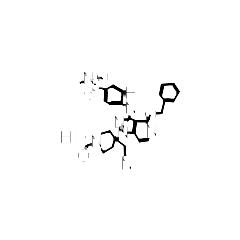 CN(C)S(=O)(=O)c1ccc(Nc2nn(C3(CC#N)CCN(C(=O)O)CC3)c3ccnc(OCc4ccccc4)c23)cc1